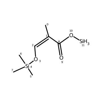 CC(=CO[Si](C)(C)C)C(=O)O[SiH3]